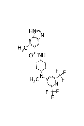 Cc1cc2[nH]cnc2cc1C(=O)N[C@H]1CC[C@@H](N(C)c2cc(C(F)(F)F)nc(C(F)(F)F)c2)CC1